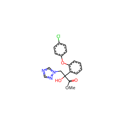 COC(=O)C(O)(Cn1cncn1)c1ccccc1Oc1ccc(Cl)cc1